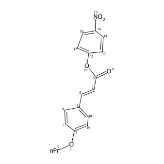 CCCOc1ccc(C=CC(=O)Oc2ccc([N+](=O)[O-])cc2)cc1